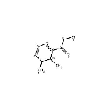 CC1C=NC=C(C(=O)CBr)C1C